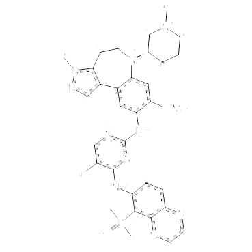 COc1cc2c(cc1Nc1ncc(Br)c(Nc3ccc4nccnc4c3P(C)(C)=O)n1)-c1cnn(C)c1CCN2[C@@H]1CCCN(C)C1